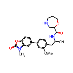 COc1cc(-c2ccc3oc(=O)n(C)c3c2)ccc1CC(C#N)NC(=O)C1CNCCCO1